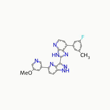 COc1cncc(-c2ccc3[nH]nc(-c4nc5c(-c6cc(C)cc(F)c6)ccnc5[nH]4)c3n2)c1